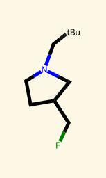 CC(C)(C)CN1CCC(CF)C1